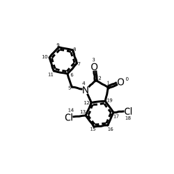 O=C1C(=O)N(Cc2ccccc2)c2c(Cl)ccc(Cl)c21